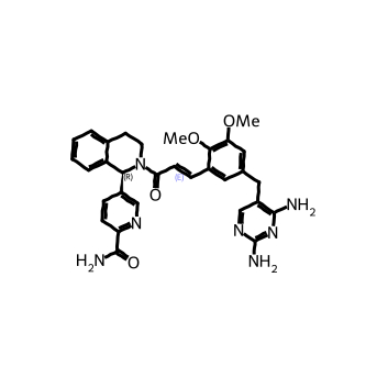 COc1cc(Cc2cnc(N)nc2N)cc(/C=C/C(=O)N2CCc3ccccc3[C@@H]2c2ccc(C(N)=O)nc2)c1OC